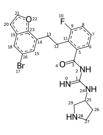 N=C(NC(=O)c1cccc(F)c1CCc1cc(Br)cc2ccoc12)NC1CCNC1